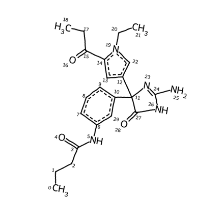 CCCC(=O)Nc1cccc(C2(c3cc(C(=O)CC)n(CC)c3)N=C(N)NC2=O)c1